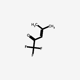 CC(C)=CC(=O)C(F)(F)F